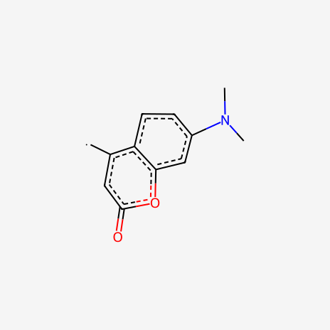 [CH2]c1cc(=O)oc2cc(N(C)C)ccc12